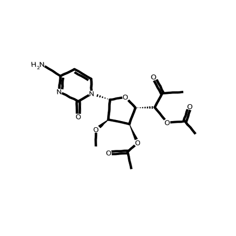 CO[C@@H]1[C@H](OC(C)=O)[C@@H](C(OC(C)=O)C(C)=O)O[C@H]1n1ccc(N)nc1=O